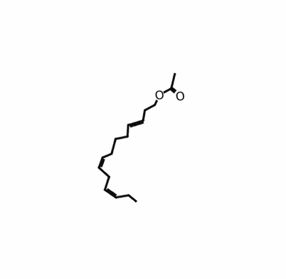 CC/C=C\C/C=C\CCC/C=C/CCOC(C)=O